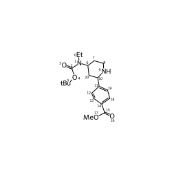 CCN(C(=O)OC(C)(C)C)C1CCNC(c2ccc(C(=O)OC)cc2)C1